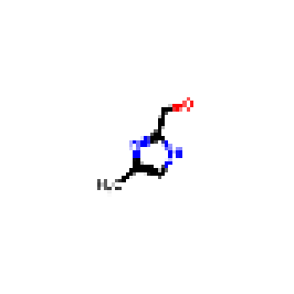 Cc1c[nH]c(C[O])n1